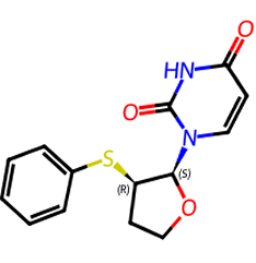 O=c1ccn([C@H]2OCC[C@H]2Sc2ccccc2)c(=O)[nH]1